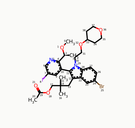 CO[C@@H](C)c1ncc(I)cc1-c1c(CC(C)(C)COC(C)=O)c2cc(Br)ccc2n1CCOC1CCOCC1